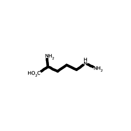 NNCCCC(N)C(=O)O